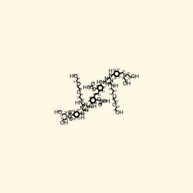 O=S(O)Oc1cc(Nc2nc(NCCCOCCOCCO)nc(Nc3ccc(CN(CCO)CCO)cc3)n2)ccc1/C=C/c1ccc(Nc2nc(NCCCOCCOCCO)nc(Nc3ccc(S(=O)(=O)N(CCO)CCO)cc3)n2)cc1OS(=O)O